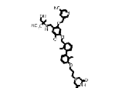 Cc1c(COc2cc(OCc3cncc(C#N)c3)c(CNC(C)(CO)C(=O)O)cc2Cl)cccc1-c1cccc(OCCCN2CC(=O)NC(=O)C2)c1C